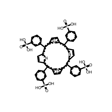 O=P(O)(O)c1cccc(-c2c3nc(c(-c4cccc(P(=O)(O)O)c4)c4ccc([nH]4)c(-c4cccc(P(=O)(O)O)c4)c4nc(c(-c5cccc(P(=O)(O)O)c5)c5ccc2[nH]5)C=C4)C=C3)c1